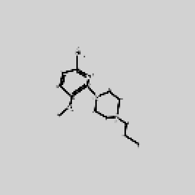 CCCN1CCN(c2nc(N)ccc2OC)CC1